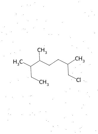 CCC(C)C(C)CCC(C)CCl